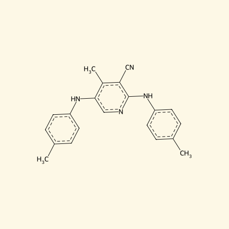 Cc1ccc(Nc2cnc(Nc3ccc(C)cc3)c(C#N)c2C)cc1